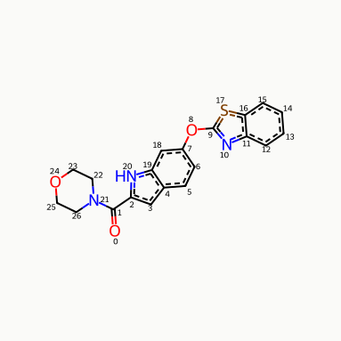 O=C(c1cc2ccc(Oc3nc4ccccc4s3)cc2[nH]1)N1CCOCC1